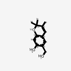 CC1=Cc2cc(CO)c(O)cc2OC1(C)C